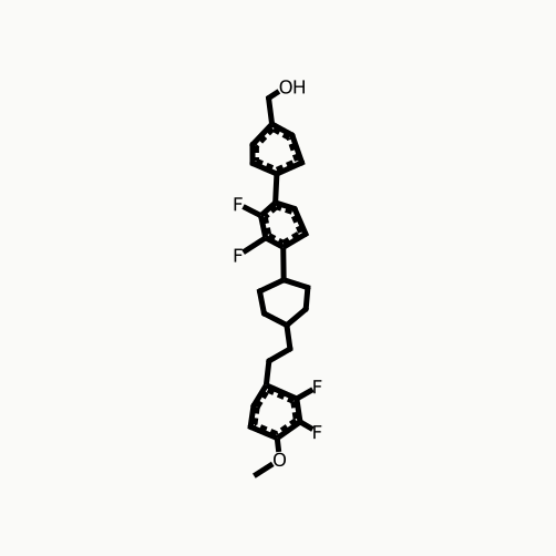 COc1ccc(CCC2CCC(c3ccc(-c4ccc(CO)cc4)c(F)c3F)CC2)c(F)c1F